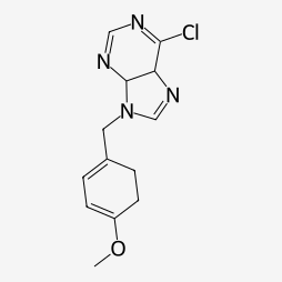 COC1=CC=C(CN2C=NC3C(Cl)=NC=NC32)CC1